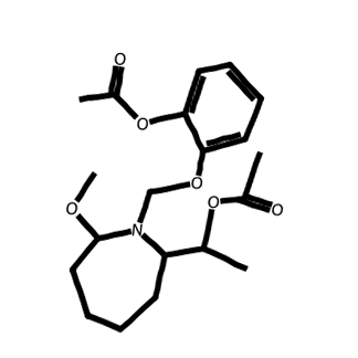 COC1CCCCC(C(C)OC(C)=O)N1COc1ccccc1OC(C)=O